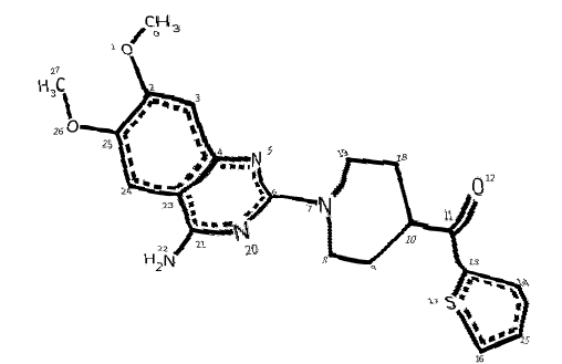 COc1cc2nc(N3CCC(C(=O)c4cccs4)CC3)nc(N)c2cc1OC